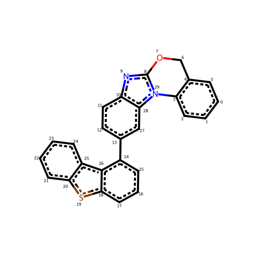 c1ccc2c(c1)COc1nc3ccc(-c4cccc5sc6ccccc6c45)cc3n1-2